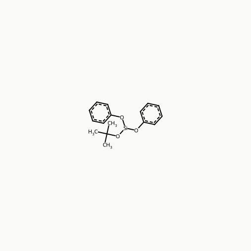 CC(C)(C)O[Si](Oc1ccccc1)Oc1ccccc1